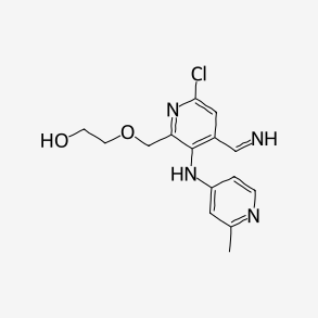 Cc1cc(Nc2c(C=N)cc(Cl)nc2COCCO)ccn1